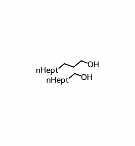 CCCCCCCCCCO.CCCCCCCCO